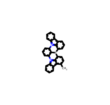 Cc1ccc2c3c1c1ccccc1n3-c1cccc3c1B2c1cccc2c4ccccc4n-3c12